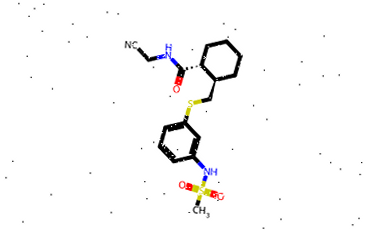 CS(=O)(=O)Nc1cccc(SC[C@@H]2CCCC[C@H]2C(=O)NCC#N)c1